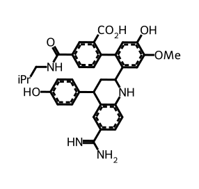 COc1cc(C2CC(c3ccc(O)cc3)c3cc(C(=N)N)ccc3N2)c(-c2ccc(C(=O)NCC(C)C)cc2C(=O)O)cc1O